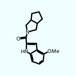 COc1cccc2[nH]c(C(=O)N3CC4CCCC4C3)cc12